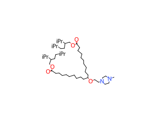 CC(C)CCC(COC(=O)CCCCCCCCCC(CCCCCCCCCC(=O)OCC(CCC(C)C)C(C)C)OCCN1CCN(C)CC1)C(C)C